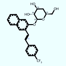 OC[C@@H]1C[C@H](O)[C@@H](O)[C@H](Oc2cc3ccccc3cc2/C=C/c2ccc(C(F)(F)F)cc2)O1